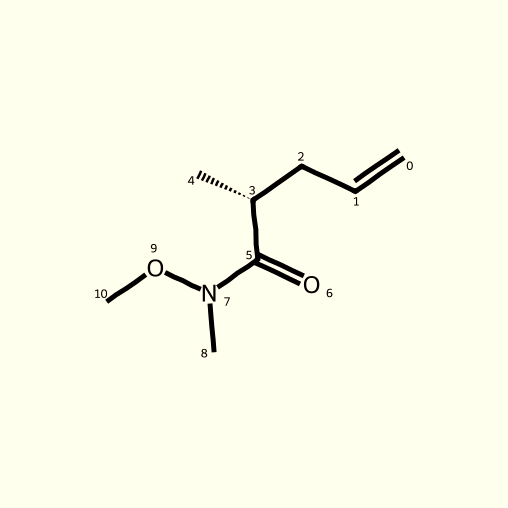 C=CC[C@@H](C)C(=O)N(C)OC